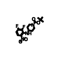 CC(C)(C)OC(=O)N1CCC(Nc2c([N+](=O)[O-])ccc(F)c2F)CC1